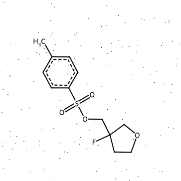 Cc1ccc(S(=O)(=O)OCC2(F)CCOC2)cc1